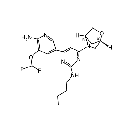 CCCCNc1nc(-c2cnc(N)c(OC(F)F)c2)cc(N2C[C@@H]3C[C@H]2CO3)n1